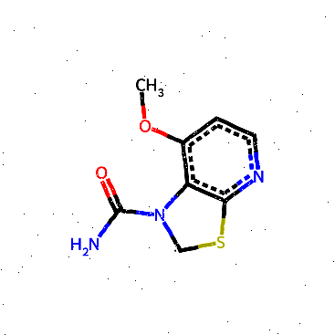 COc1ccnc2c1N(C(N)=O)[CH]S2